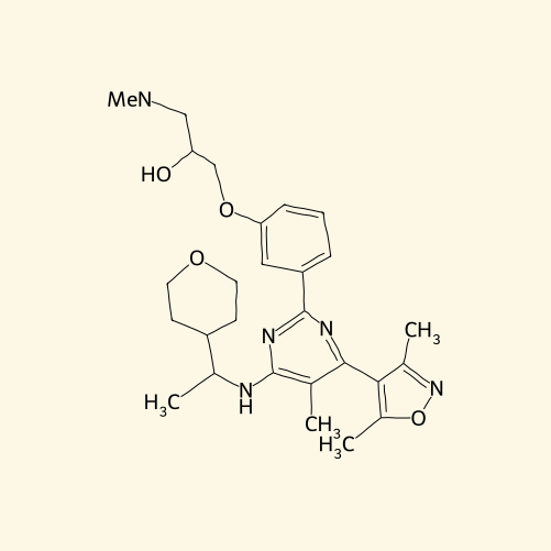 CNCC(O)COc1cccc(-c2nc(NC(C)C3CCOCC3)c(C)c(-c3c(C)noc3C)n2)c1